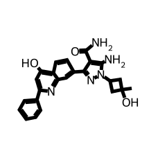 CC1(O)CC(n2nc(-c3ccc4c(O)cc(-c5ccccc5)nc4c3)c(C(N)=O)c2N)C1